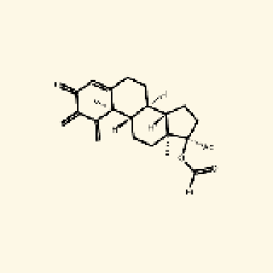 C=C1C(=C)[C@@]2(C)C(=CC1=O)CC[C@@H]1[C@@H]2CC[C@@]2(C)[C@H]1CC[C@]2(OC(=O)CC)C(C)=O